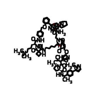 CC(C)C(C(=O)N1CCC[C@H]1C(=O)N[C@@H](C)c1ccc(-c2ccnn2C)cc1)c1cc(OCCN2CCN(CCOc3cc(N4C5CCC4CN(c4cc(-c6ccccc6OCc6ccc(NC(=O)[C@H](CCCCN(C)C)NC(=O)C7(C(=O)NCCCCCN8C(=O)C=CC8=O)CCC7)cc6)nnc4N)C5)ccn3)CC2)no1